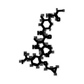 CCC(=O)NC1CCC(NC(=O)c2c(C)[nH]c3c(-c4cc(C(F)F)ccc4OCC4CC4)ncnc23)CC1C